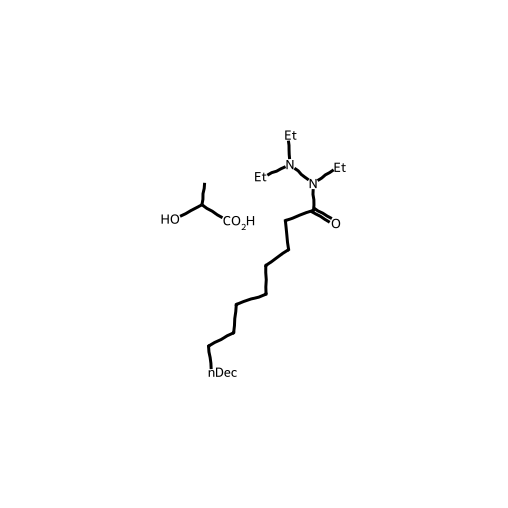 CC(O)C(=O)O.CCCCCCCCCCCCCCCCCC(=O)N(CC)N(CC)CC